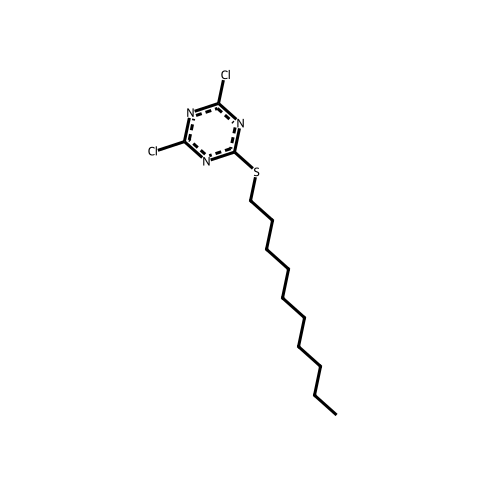 CCCCCCCCCCSc1nc(Cl)nc(Cl)n1